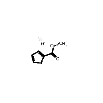 [CH3][Co+2][C](=O)C1=CC=CC1.[H-].[H-]